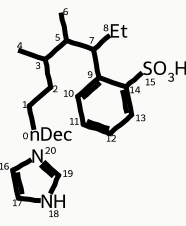 CCCCCCCCCCCCC(C)C(C)C(CC)c1ccccc1S(=O)(=O)O.c1c[nH]cn1